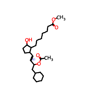 COC(=O)CCCCCCC1C(O)CCC1/C=C/C(CC1CCCCC1)OC(C)=O